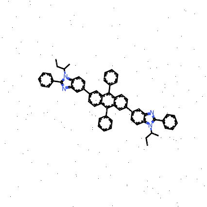 CCC(C)n1c(-c2ccccc2)nc2cc(-c3ccc4c(-c5ccccc5)c5cc(-c6ccc7c(c6)nc(-c6ccccc6)n7C(C)CC)ccc5c(-c5ccccc5)c4c3)ccc21